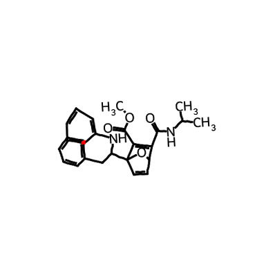 COC(=O)C1=C(C(=O)NC(C)C)C2C=CC1(C(Cc1ccccc1)Nc1ccccc1)O2